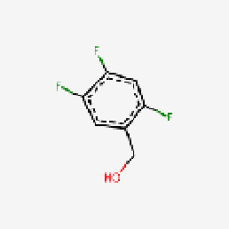 OCc1cc(F)c(F)cc1F